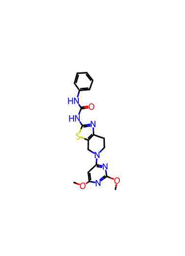 COc1cc(N2CCc3nc(NC(=O)Nc4ccccc4)sc3C2)nc(OC)n1